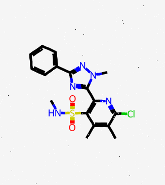 CNS(=O)(=O)c1c(-c2nc(-c3ccccc3)nn2C)nc(Cl)c(C)c1C